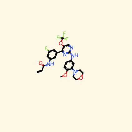 C=CC(=O)Nc1cc(F)cc(-c2nc(Nc3ccc(OC)c(N4CCOCC4)c3)ncc2OC(F)(F)F)c1